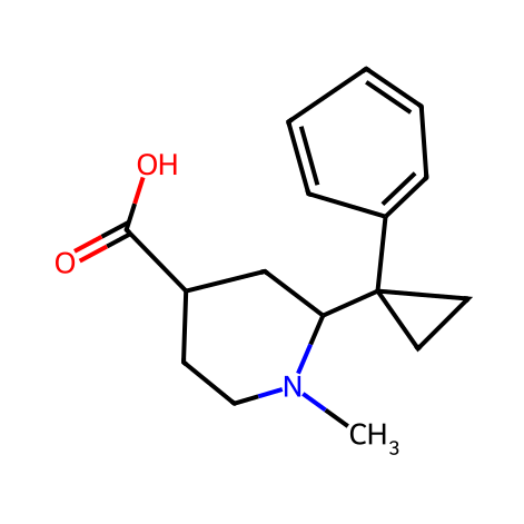 CN1CCC(C(=O)O)CC1C1(c2ccccc2)CC1